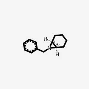 c1ccc(CN2[C@@H]3CCCC[C@@H]32)cc1